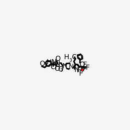 CCCc1cc(C(OCc2ccccc2)(C(F)(F)F)C(F)(F)F)ncc1N1CCN(C(=O)CN2C(=O)NC(C)(c3ccc4c(c3)CCO4)C2=O)CC1